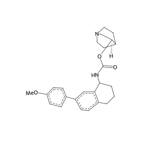 COc1ccc(-c2ccc3c(c2)C(NC(=O)O[C@H]2CN4CCC2CC4)CCC3)cc1